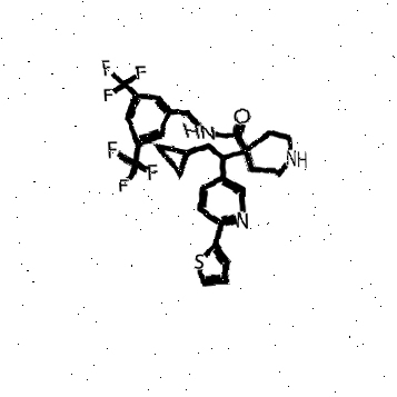 O=C(NCc1cc(C(F)(F)F)cc(C(F)(F)F)c1)C1(C(CC2CC2)c2ccc(-c3cccs3)nc2)CCNCC1